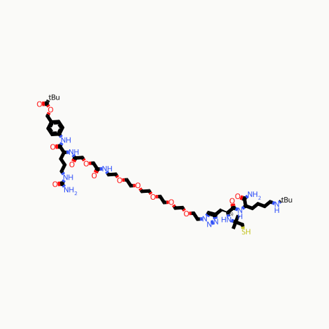 CC(C)(C)NCCCCC(NC(=O)[C@H](Cc1cn(CCOCCOCCOCCOCCOCCNC(=O)COCC(=O)NC(CCCNC(N)=O)C(=O)Nc2ccc(COC(=O)C(C)(C)C)cc2)nn1)NC(C)(C)CS)C(N)=O